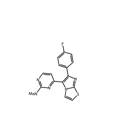 CNc1nccc(-c2c(-c3ccc(F)cc3)nc3sccn23)n1